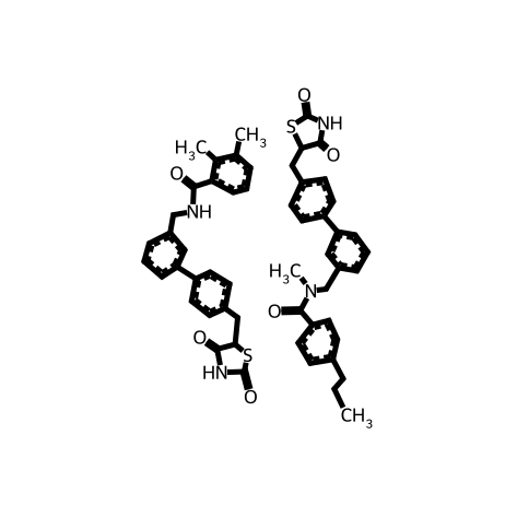 CCCc1ccc(C(=O)N(C)Cc2cccc(-c3ccc(CC4SC(=O)NC4=O)cc3)c2)cc1.Cc1cccc(C(=O)NCc2cccc(-c3ccc(CC4SC(=O)NC4=O)cc3)c2)c1C